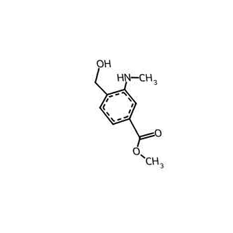 CNc1cc(C(=O)OC)ccc1CO